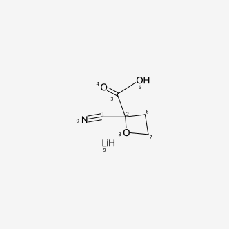 N#CC1(C(=O)O)CCO1.[LiH]